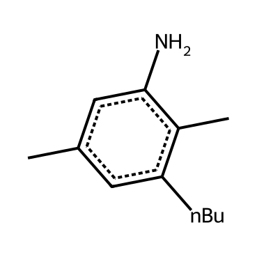 CCCCc1cc(C)cc(N)c1C